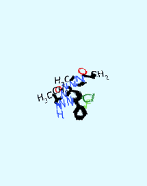 C=CC(=O)N1CCN(c2nc(=O)n(-c3n[nH]cc3C(C)C)c3nc(-c4ccccc4F)c(Cl)cc23)C(C)C1